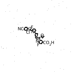 N#Cc1ccc(OCc2nc(C3=CCN(Cc4nc5c(F)cc(C(=O)O)cc5n4C[C@@H]4CCO4)C3)ccc2F)c(Cl)c1